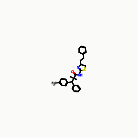 CC(C)(C(=O)NC1=NC(CCc2ccccc2)CS1)C(c1ccccc1)c1ccc(C(F)(F)F)cc1